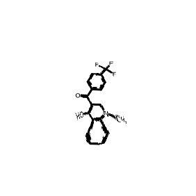 CN1CC(C(=O)c2ccc(C(F)(F)F)cc2)=C(O)c2ccccc21